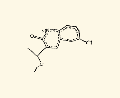 COC(C)c1cc2cc(Cl)ccc2[nH]c1=O